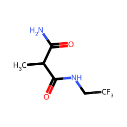 CC(C(N)=O)C(=O)NCC(F)(F)F